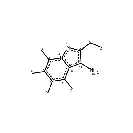 CCc1nn2c(C)c(C)c(C)c(C)c2c1N